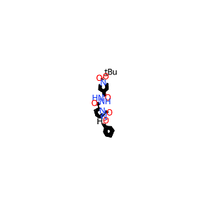 CC(C)(C)OC(=O)N1CCC(C(=O)NNC(=O)[C@@H]2CC[C@@H]3CN2C(=O)N3OCc2ccccc2)CC1